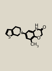 Cc1cc(N2CCc3ccsc3C2)cc2c1OCC(=O)N2